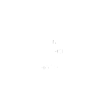 CC(C)N1CCC(CCC(=O)O)CC1.Cl